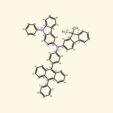 CC1(C)c2ccccc2-c2ccc(N(c3ccc(-c4c5ccccc5c(-c5ccccc5)c5ccccc45)cc3)c3ccc4c(c3)c3ccccc3n4-c3ccccc3)cc21